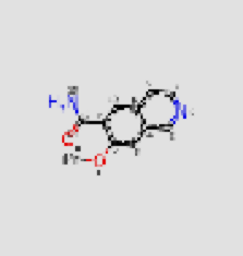 CC(C)Oc1cc2cnccc2cc1C(N)=O